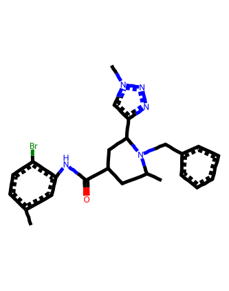 Cc1ccc(Br)c(NC(=O)C2CC(C)N(Cc3ccccc3)C(c3cn(C)nn3)C2)c1